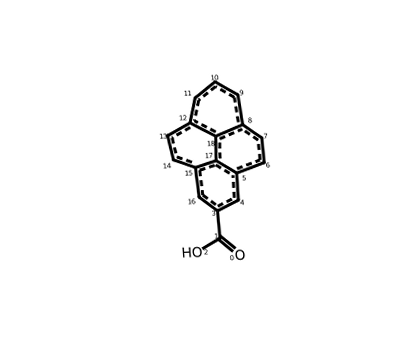 O=C(O)c1cc2ccc3cccc4ccc(c1)c2c34